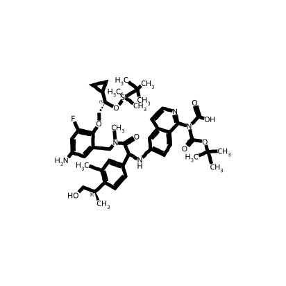 Cc1cc(C(Nc2ccc3c(N(C(=O)O)C(=O)OC(C)(C)C)nccc3c2)C(=O)N(C)Cc2cc(N)cc(F)c2OC[C@@H](O[Si](C)(C)C(C)(C)C)C2CC2)ccc1[C@@H](C)CO